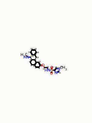 CNC[C@@H]1CCc2ccc(OCCNS(=O)(=O)c3cn(C)cn3)cc2[C@@H]1Cc1ccccc1